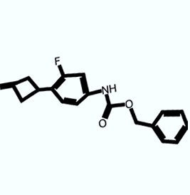 O=C1CC(c2ccc(NC(=O)OCc3ccccc3)cc2F)C1